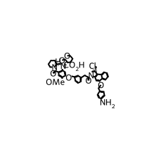 COc1cc2c(cc1OCc1cccc(CC(=O)N3C[C@@H](CCl)c4c3cc(OCc3ccc(N)cc3)c3ccccc43)c1)N(C(=O)O)C(OC1CCCCO1)[C@@H]1CCCCN1C2=O